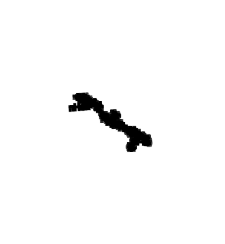 CCCCCCn1c2cc(-c3ccc(CCc4cc(C)c(-c5ccc6c7ccc(-c8ccc(CCc9cc(C)c(-c%10ccc%11c%12ccc(-c%13ccc(C)cc%13C)cc%12n(-c%12ccc(-c%13ccccc%13)cc%12)c%11c%10)c(C)c9)cc8C)cc7n(-c7cccc(C)c7)c6c5)c(C)c4)cc3C)ccc2c2ccc(-c3c(C)cc(C)cc3C)cc21